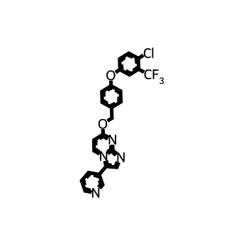 FC(F)(F)c1cc(Oc2ccc(COc3ccn4c(-c5cccnc5)cnc4n3)cc2)ccc1Cl